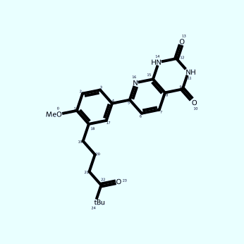 COc1ccc(-c2ccc3c(=O)[nH]c(=O)[nH]c3n2)cc1CCCC(=O)C(C)(C)C